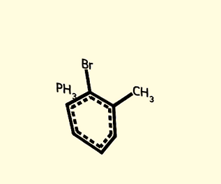 Cc1ccccc1Br.P